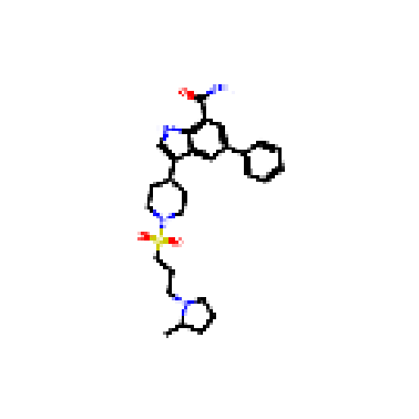 CC1CCCN1CCCS(=O)(=O)N1CCC(c2c[nH]c3c(C(N)=O)cc(-c4ccccc4)cc23)CC1